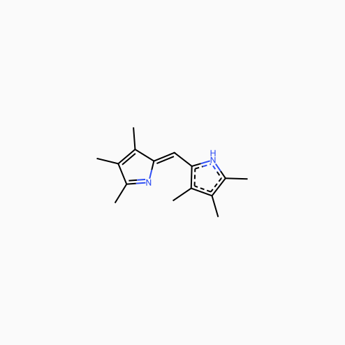 CC1=N/C(=C\c2[nH]c(C)c(C)c2C)C(C)=C1C